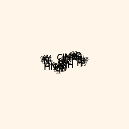 CC(C)(C)N1C(CCCNc2cccc(S(=O)(=O)NC(=O)c3ccc(-n4ccc(OCCC5(C(F)(F)F)CC5)n4)nc3Cl)n2)CCC1(C)C